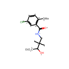 CCOC(=O)C(O)C(C)(C)CNC(=O)c1cc(Cl)ccc1OC